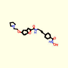 O=C(NO)c1ccc(C#CCNC(=O)c2cc3cc(OCCN4CCCC4)ccc3o2)cc1